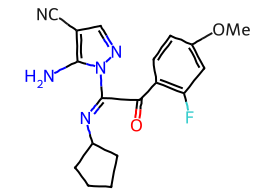 COc1ccc(C(=O)/C(=N\C2CCCC2)n2ncc(C#N)c2N)c(F)c1